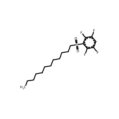 CCCCCCCCCCCCS(=O)(=O)c1c(F)c(F)[c]c(F)c1F